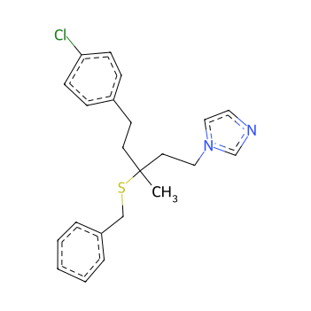 CC(CCc1ccc(Cl)cc1)(CCn1ccnc1)SCc1ccccc1